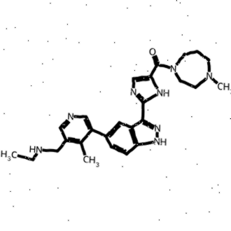 CCNCc1cncc(-c2ccc3[nH]nc(-c4ncc(C(=O)N5CCCN(C)CC5)[nH]4)c3c2)c1C